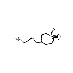 CCCCC1CCS(=O)(=O)CC1